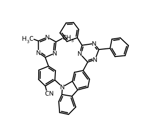 Cc1nc(C)nc(-c2ccc(C#N)c(-n3c4ccccc4c4ccc(-c5nc(-c6ccccc6)nc(-c6ccccc6)n5)cc43)c2)n1